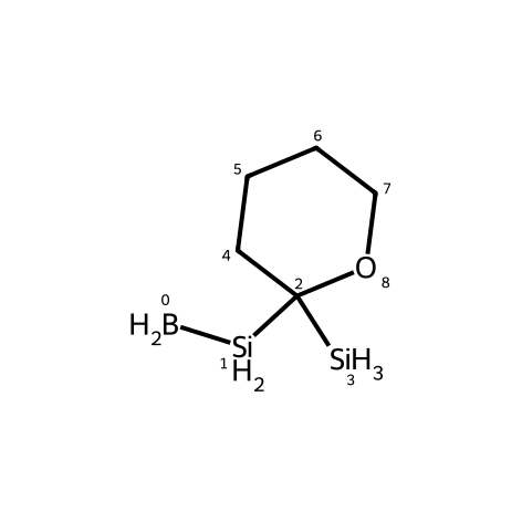 B[SiH2]C1([SiH3])CCCCO1